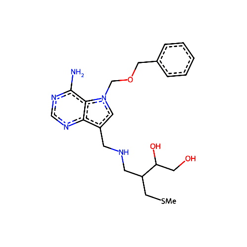 CSCC(CNCc1cn(COCc2ccccc2)c2c(N)ncnc12)C(O)CO